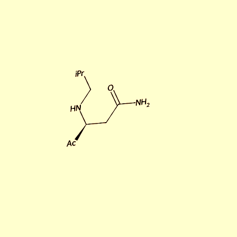 CC(=O)[C@H](CC(N)=O)NCC(C)C